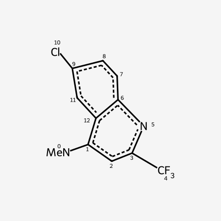 CNc1cc(C(F)(F)F)nc2ccc(Cl)cc12